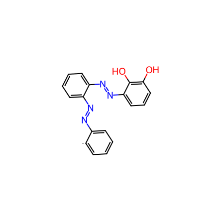 Oc1cccc(/N=N/c2ccccc2/N=N/c2[c]cccc2)c1O